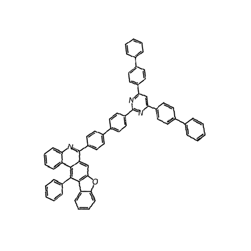 c1ccc(-c2ccc(-c3cc(-c4ccc(-c5ccccc5)cc4)nc(-c4ccc(-c5ccc(-c6nc7ccccc7c7c(-c8ccccc8)c8c(cc67)oc6ccccc68)cc5)cc4)n3)cc2)cc1